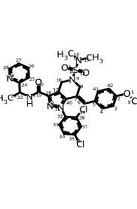 COc1ccc(/C=C2\CN(S(=O)(=O)N(C)C)Cc3c(C(=O)NC(C)c4ccccn4)nn(-c4ccc(Cl)cc4Cl)c32)cc1